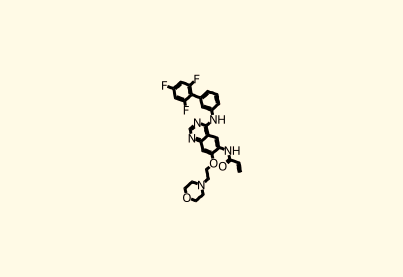 C=CC(=O)Nc1cc2c(Nc3cccc(-c4c(F)cc(F)cc4F)c3)ncnc2cc1OCCN1CCOCC1